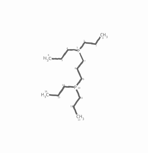 CCCP(CCC)CCCP(CCC)CCC